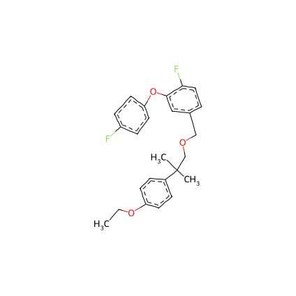 CCOc1ccc(C(C)(C)COCc2ccc(F)c(Oc3ccc(F)cc3)c2)cc1